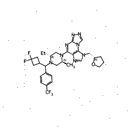 CC[C@@H]1CN(c2nc3nncn3c3c2ncn3C[C@@H]2CCCO2)[C@@H](C)CN1C(c1ccc(C(F)(F)F)cc1)C1CC(F)(F)C1